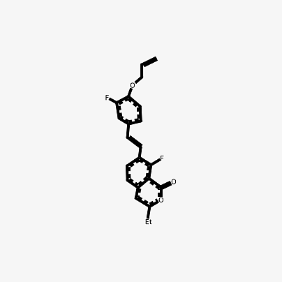 C=CCOc1ccc(/C=C/c2ccc3cc(CC)oc(=O)c3c2F)cc1F